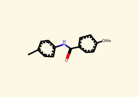 COc1ccc(C(=O)Nc2ccc(C)cc2)cc1